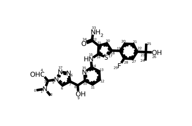 CN(C)C(C=O)n1cc(C(O)c2cccc(Nc3sc(-c4ccc(C(C)(C)O)cc4F)cc3C(N)=O)n2)nn1